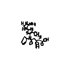 Cc1nc(NC(=N)N)sc1N(C(=O)CC(O)CC(=O)O)c1ccccc1